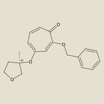 C[C@@]1(Oc2cccc(=O)c(OCc3ccccc3)c2)CCOC1